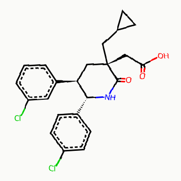 O=C(O)C[C@]1(CC2CC2)C[C@H](c2cccc(Cl)c2)[C@@H](c2ccc(Cl)cc2)NC1=O